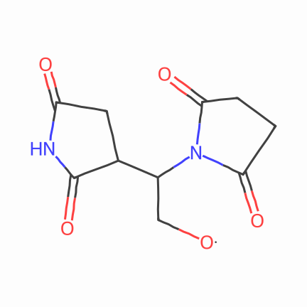 [O]CC(C1CC(=O)NC1=O)N1C(=O)CCC1=O